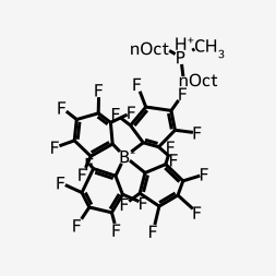 CCCCCCCC[PH+](C)CCCCCCCC.Fc1c(F)c(F)c([B-](c2c(F)c(F)c(F)c(F)c2F)(c2c(F)c(F)c(F)c(F)c2F)c2c(F)c(F)c(F)c(F)c2F)c(F)c1F